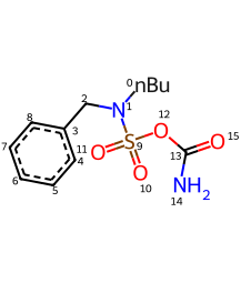 CCCCN(Cc1ccccc1)S(=O)(=O)OC(N)=O